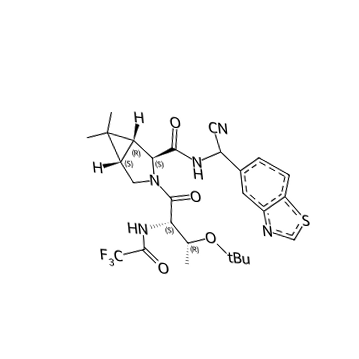 C[C@@H](OC(C)(C)C)[C@H](NC(=O)C(F)(F)F)C(=O)N1C[C@H]2[C@@H]([C@H]1C(=O)NC(C#N)c1ccc3scnc3c1)C2(C)C